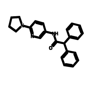 O=C(Nc1ccc(N2CCCC2)nc1)C(c1ccccc1)c1ccccc1